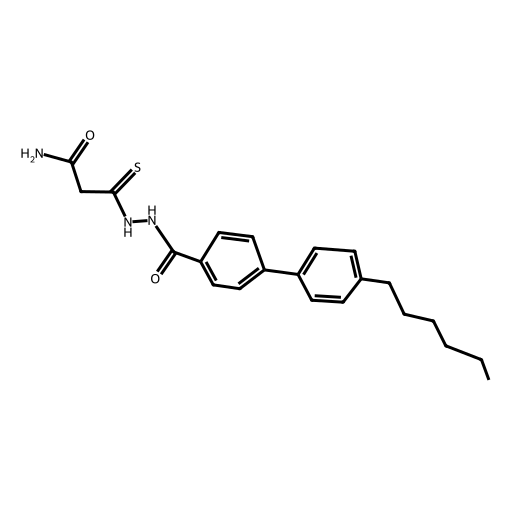 CCCCCCc1ccc(-c2ccc(C(=O)NNC(=S)CC(N)=O)cc2)cc1